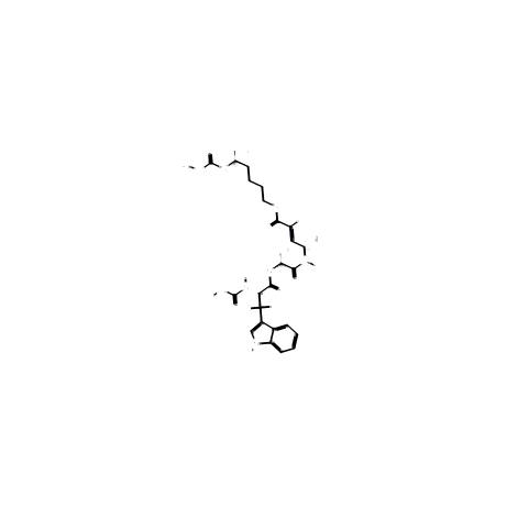 C/C(=C\[C@H](C(C)C)N(C)C(=O)[C@@H](NC(=O)[C@@H](N(C)C(=O)OC(C)(C)C)C(C)(C)c1cn(C)c2ccccc12)C(C)(C)C)C(=O)NCCCC[C@H](C)NC(=O)OC(C)(C)C